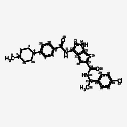 CN1CCN(c2ccc(C(=O)Nc3n[nH]c4sc(C(=O)NN(C)c5ccc(Cl)cc5)cc34)cc2)CC1